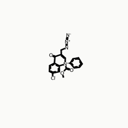 COC(=O)[N+]1(c2ccccc2)C=C(CN=[N+]=[N-])C(=O)c2ccc(Cl)cc21